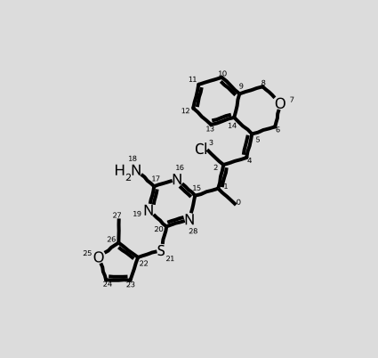 C/C(=C(Cl)\C=C1\COCc2ccccc21)c1nc(N)nc(Sc2ccoc2C)n1